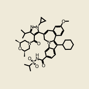 COc1ccc2c(c1)C=C(c1c(C(=O)N3C[C@@H](C)O[C@@H](C)C3)c(C(C)C)nn1C1CC1)Cn1c-2c(C2CCCCC2)c2ccc(C(=O)NS(=O)(=O)C(C)C)cc21